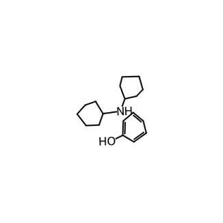 C1CCC(NC2CCCCC2)CC1.Oc1ccccc1